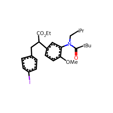 CCOC(=O)C(Cc1ccc(I)cc1)c1ccc(OC)c(N(CC(C)C)C(=O)C(C)(C)C)c1